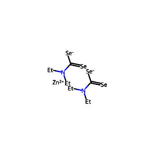 CCN(CC)C(=[Se])[Se-].CCN(CC)C(=[Se])[Se-].[Zn+2]